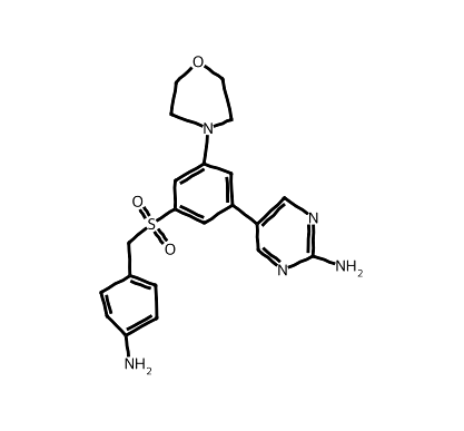 Nc1ccc(CS(=O)(=O)c2cc(-c3cnc(N)nc3)cc(N3CCOCC3)c2)cc1